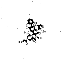 C=CC(=O)N1C[C@@H](C)N2c3c(c(=O)n(-c4c(C)cnn4C(C)(C)C)c4nc(-c5c(O)cccc5F)c(Cl)cc34)N(C)C(=O)[C@H]2C1